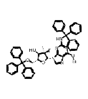 CCOc1nc(NC(c2ccccc2)(c2ccccc2)c2ccccc2)nc2c1ncn2[C@@H]1O[C@H](COC(c2ccccc2)(c2ccccc2)c2ccccc2)[C@@H](O)[C@@]1(C)F